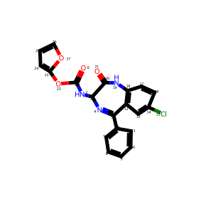 O=C(NC1N=C(c2ccccc2)c2cc(Cl)ccc2NC1=O)Oc1ccco1